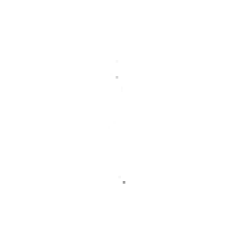 COc1cc(CO[Si](C)(C)C(C)(C)C)ccc1C(N)=O